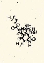 C=CCOC(=O)N1CC(CC(=O)C(C)[C@H]2NC(=O)[C@H]2[C@@H](CO[SiH](C)C)C(C)(C)C)C1